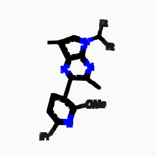 CCC(CC)n1cc(C)c2nc(-c3ccc(C(C)C)nc3OC)c(C)nc21